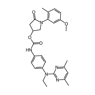 CCN(c1ccc(NC(=O)OC2CC(=O)N(c3cc(OC)ccc3C)C2)cc1)c1nc(C)cc(C)n1